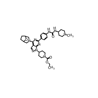 CCOC(=O)N1CCC(n2ncc3c(N4CC5CCC(C4)O5)nc(-c4ccc(NC(=O)NC5CCN(C)CC5)cc4)nc32)CC1